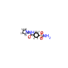 NS(=O)(=O)c1ccc(C(=O)NN2CCCC2)cc1